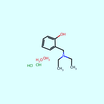 CCN(CC)Cc1ccccc1O.Cl.Cl.O.O